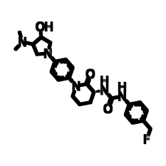 CN(C)C1CN(c2ccc(N3CCC[C@@H](NC(=O)Nc4ccc(CF)cc4)C3=O)cc2)CC1O